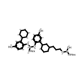 CCCCCCB(O)OCCCC1CCCC(c2cc(O)ccc2OB(CCCCCC)Oc2ccc(O)cc2C2CCCCC2)C1